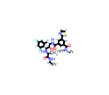 CCCN(CCC)C(=O)c1cc(C(=O)N[C@@H](Cc2cc(F)cc(F)c2)[C@H](O)CN[C@@H](C)C(=O)NCC(C)C)cc(-c2nccs2)c1